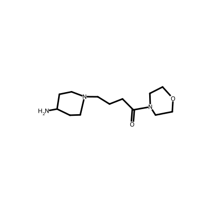 NC1CCN(CCCC(=O)N2CCOCC2)CC1